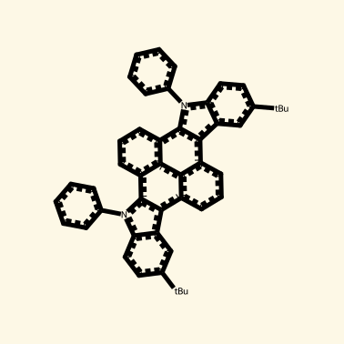 CC(C)(C)c1ccc2c(c1)c1c3cccc4c3c3c(cccc3c3c4c4cc(C(C)(C)C)ccc4n3-c3ccccc3)c1n2-c1ccccc1